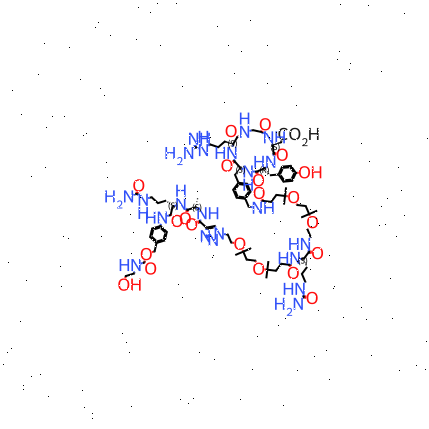 C[C@H](NC(=O)c1cn(CCOC(C)(C)CCOC(C)(C)CCC(=O)N[C@@H](CCCNC(N)=O)C(=O)NCCOC(C)(C)CCOC(C)(C)CCC(=O)NCc2ccc(C[C@@H]3NC(=O)[C@@H](Cc4ccc(O)cc4)NC(=O)[C@H](CC(=O)O)NC(=O)CNC(=O)[C@H](CCCNC(=N)N)NC3=O)cc2)nn1)C(=O)N[C@@H](CCCNC(N)=O)C(=O)Nc1ccc(COC(=O)NCCO)cc1